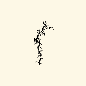 CC(C)COCCOCCn1cc(CNC(=O)/C=C/C(=O)S)nn1